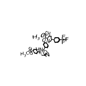 CCS(=O)(=O)c1ccc([C@@H](CC#N)NC(=O)c2ccc(N3CC(c4ccc(C(F)(F)F)cc4)CCC3C(=O)N(C)C)cc2)cc1